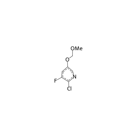 COCOc1cnc(Cl)c(F)c1